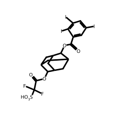 O=C(OC1C2CC3CC1CC(C2)C3OC(=O)C(F)(F)S(=O)(=O)O)c1cc(I)cc(I)c1I